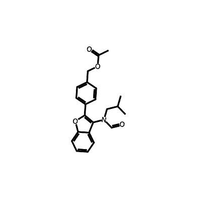 CC(=O)OCc1ccc(-c2oc3ccccc3c2N(C=O)CC(C)C)cc1